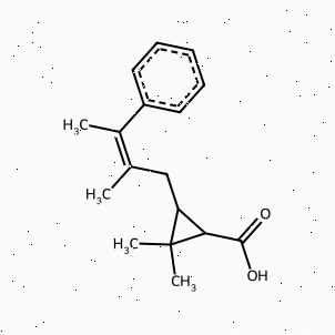 CC(CC1C(C(=O)O)C1(C)C)=C(C)c1ccccc1